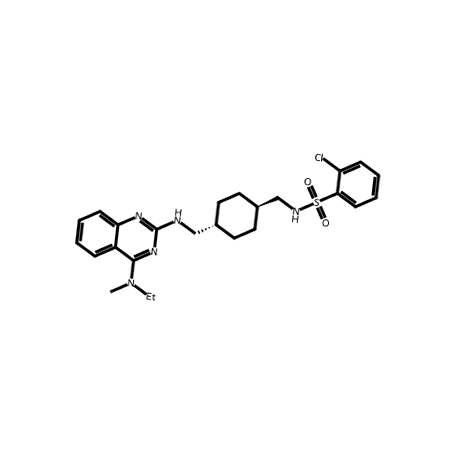 CCN(C)c1nc(NC[C@H]2CC[C@H](CNS(=O)(=O)c3ccccc3Cl)CC2)nc2ccccc12